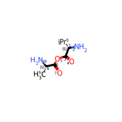 CC(C)[C@H](N)C(=O)OC(=O)[C@H](C)N